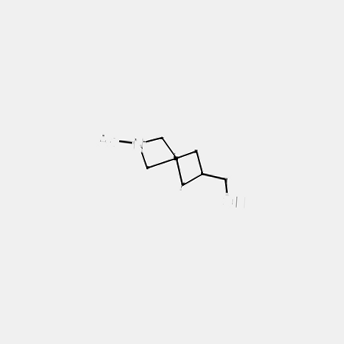 CC(=O)N1CC2(CC(CO)C2)C1